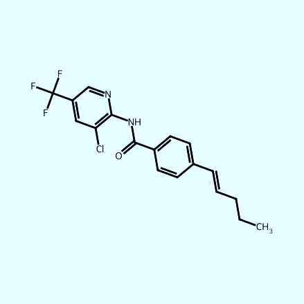 CCC/C=C/c1ccc(C(=O)Nc2ncc(C(F)(F)F)cc2Cl)cc1